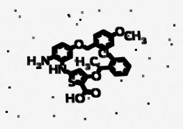 COc1ccc(COc2ccc(N)c(Nc3cc(O[C@H](C)c4ccccc4Cl)c(C(=O)O)s3)c2)cc1